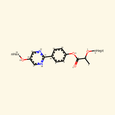 CCCCCCCOC(C)C(=O)Oc1ccc(-c2ncc(OCCCCCC)cn2)cc1